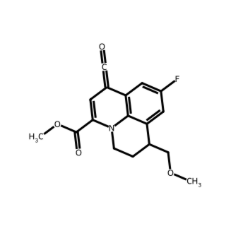 COCC1CCN2C(C(=O)OC)=CC(=C=O)c3cc(F)cc1c32